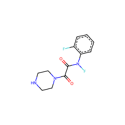 O=C(C(=O)N(F)c1ccccc1F)N1CCNCC1